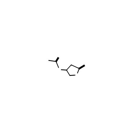 CC(C)(C)C(=O)OC1COC(=O)C1